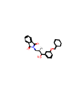 CC[C@@H](CN1C(=O)c2ccccc2C1=O)C(O)c1cccc(OCC2CCCCC2)c1